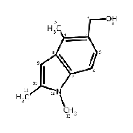 Cc1c(CO)ccc2c1cc(C)n2C